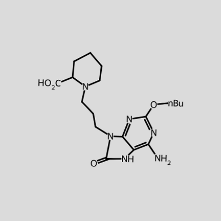 CCCCOc1nc(N)c2[nH]c(=O)n(CCCN3CCCCC3C(=O)O)c2n1